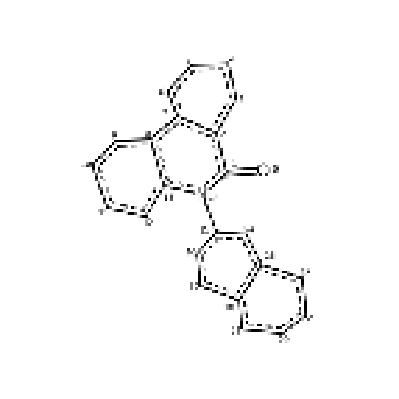 O=c1c2ccccc2c2ccccc2n1-c1ccc2ccccc2c1